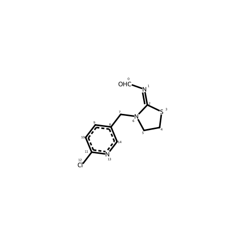 O=C/N=C1/SCCN1Cc1ccc(Cl)nc1